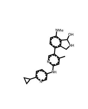 CNc1ccc(-c2cnc(Nc3ccc(C4CC4)nc3)cc2C)c2c1C(O)NC2